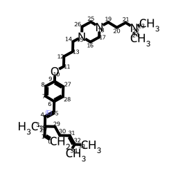 C=C[C@@](C)(/C=C/c1ccc(OCCCCN2CCN(CCCN(C)C)CC2)cc1)CCC=C(C)C